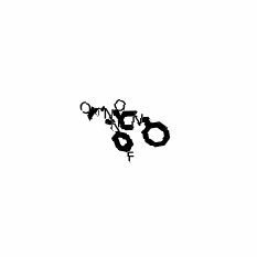 O=C1N(C[C@@H]2CO2)CN(c2ccc(F)cc2)C12CCN(CC1CCCCCCC1)CC2